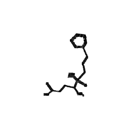 NC(CCC(=O)O)P(=O)(O)CCCc1ccccc1